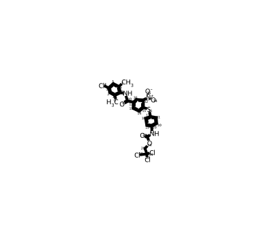 Cc1cc(Cl)cc(C)c1NC(=O)c1ccc(Sc2ccc(NC(=O)OCC(Cl)(Cl)Cl)cc2)c([N+](=O)[O-])c1